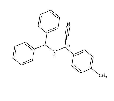 Cc1ccc([C@H](C#N)NC(c2ccccc2)c2ccccc2)cc1